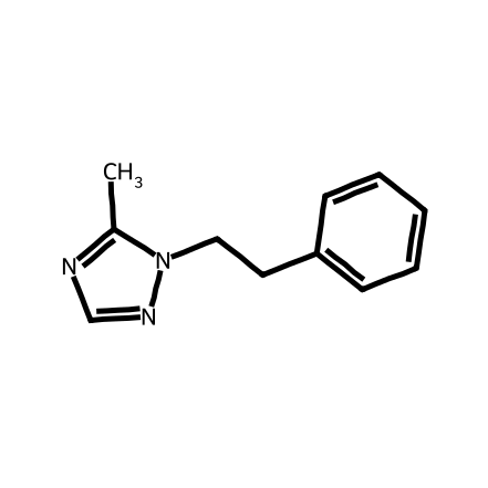 Cc1ncnn1CCc1ccccc1